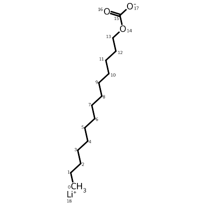 CCCCCCCCCCCCCCOC(=O)[O-].[Li+]